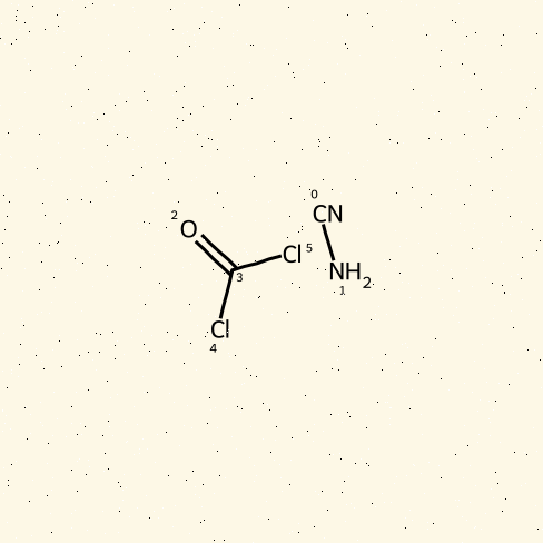 N#CN.O=C(Cl)Cl